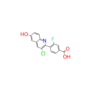 O=C(O)c1ccc(-c2nc3ccc(O)cc3cc2Cl)c(F)c1